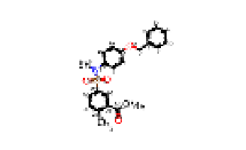 CCN(c1ccc(OCc2ccccc2)cc1)S(=O)(=O)c1ccc(C)c(C(=O)OC)c1